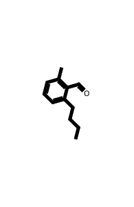 CCCCc1cccc(C)c1[C]=O